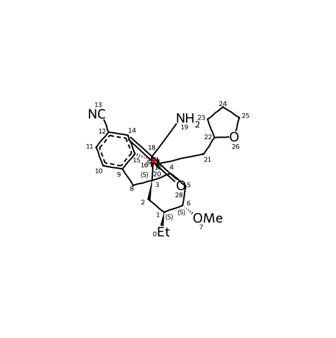 CC[C@H]1C[C@@]2(CC[C@@H]1OC)Cc1ccc(C#N)cc1[C@]21N=C(N)N(CC2CCCO2)C1=O